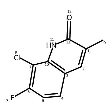 Cc1cc2ccc(F)c(Cl)c2[nH]c1=O